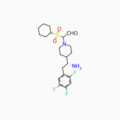 N[C@H](Cc1cc(F)c(F)cc1F)C1CCN(C(C=O)S(=O)(=O)C2CCCCC2)CC1